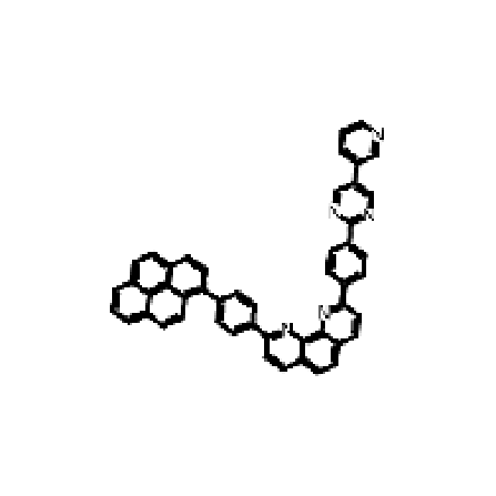 c1cncc(-c2cnc(-c3ccc(-c4ccc5ccc6ccc(-c7ccc(-c8ccc9ccc%10cccc%11ccc8c9c%10%11)cc7)nc6c5n4)cc3)nc2)c1